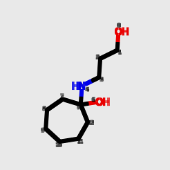 OCCCNC1(O)CCCCCC1